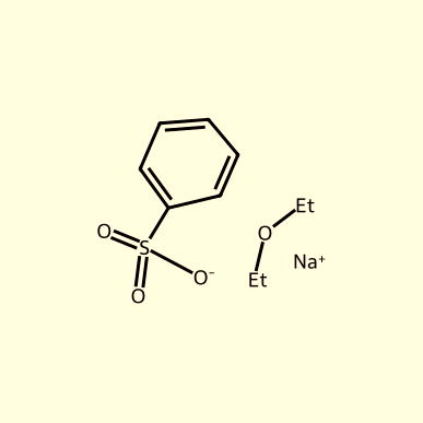 CCOCC.O=S(=O)([O-])c1ccccc1.[Na+]